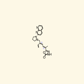 C=C/C(=C\C=C(/C)c1n[nH]c(=O)o1)CN1CCC[C@@H]1c1ccc2cccnc2n1